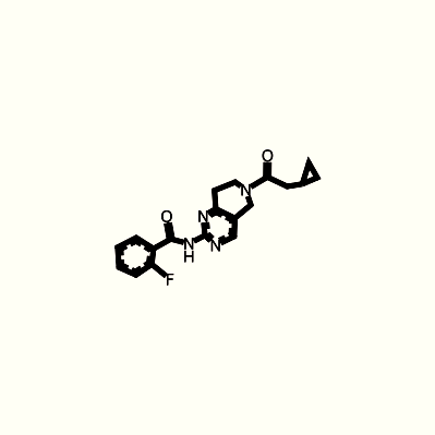 O=C(Nc1ncc2c(n1)CCN(C(=O)CC1CC1)C2)c1ccccc1F